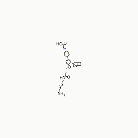 NCCSSCCNC(=O)CCCOc1ccc(-c2ccc(/C=C/C(=O)O)cc2)cc1C12CC=C3C(CC3C1)C2